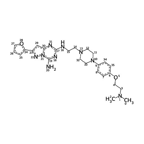 CN(C)CCOc1ccc(N2CCN(CCNc3nc(N)n4nc(-c5ccco5)cc4n3)CC2)cc1